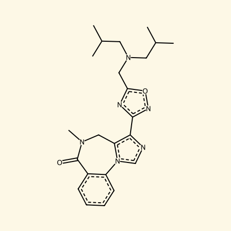 CC(C)CN(Cc1nc(-c2ncn3c2CN(C)C(=O)c2ccccc2-3)no1)CC(C)C